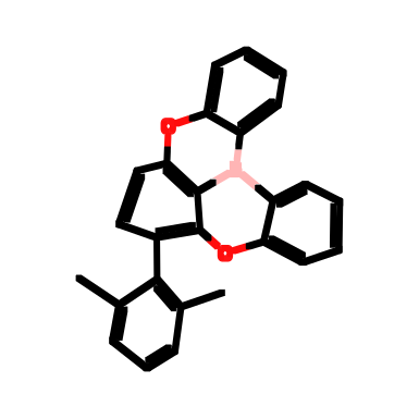 Cc1cccc(C)c1-c1ccc2c3c1Oc1ccccc1B3c1ccccc1O2